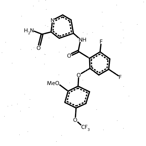 COc1cc(OC(F)(F)F)ccc1Oc1cc(F)cc(F)c1C(=O)Nc1ccnc(C(N)=O)c1